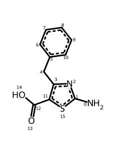 Nc1nc(Cc2ccccc2)c(C(=O)O)s1